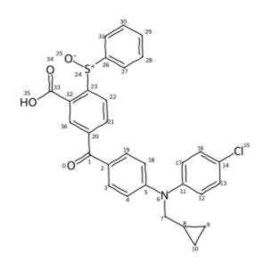 O=C(c1ccc(N(CC2CC2)c2ccc(Cl)cc2)cc1)c1ccc([S+]([O-])c2ccccc2)c(C(=O)O)c1